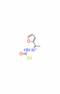 C/C(=N/NC(=O)S)c1ccco1